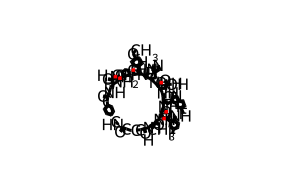 COc1ccc(C[C@@H]2NC(=O)[C@H](Cc3cnc[nH]3)NC(=O)[C@H](CC(=O)O)NC(=O)[C@H](Cc3c[nH]c4ccc(F)cc34)NC(=O)[C@H](Cc3c[nH]c4ccc(F)cc34)NC(=O)[C@@H](C)NC(=O)CCCCC(=O)NCc3ccc(cc3)CC(=O)NC[C@@H](C(N)=O)NC(=O)[C@]3(C)CCCN3C2=O)cc1